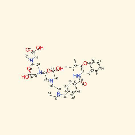 CCC(C)C(=O)C(Cc1ccccc1)NC(=O)c1ccc(CN(CC)CCN(CCN(CCN(C)CC(=O)O)CC(=O)O)CC(=O)O)c(C)c1